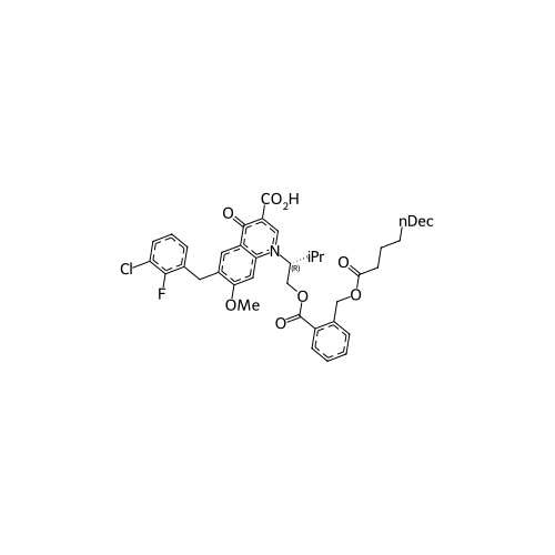 CCCCCCCCCCCCCC(=O)OCc1ccccc1C(=O)OC[C@@H](C(C)C)n1cc(C(=O)O)c(=O)c2cc(Cc3cccc(Cl)c3F)c(OC)cc21